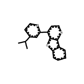 CC(C)c1ccnc(-c2ccnc3c2oc2ccccc23)c1